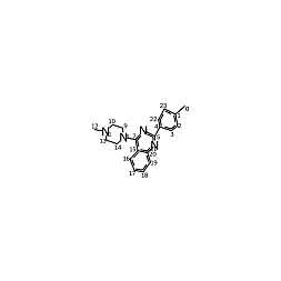 Cc1ccc(-c2nc(N3CCN(C)CC3)c3ccccc3n2)cc1